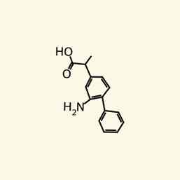 CC(C(=O)O)c1ccc(-c2ccccc2)c(N)c1